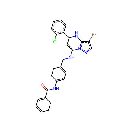 O=C(NC1=CC=C(CNC2=CC(c3ccccc3Cl)Nc3c(Br)cnn32)CC1)C1=CC=CCC1